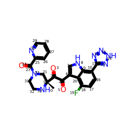 C[C@]1(C(=O)C(=O)c2c[nH]c3c(-c4nn[nH]n4)ccc(F)c23)CN(C(=O)c2ccccn2)CCN1